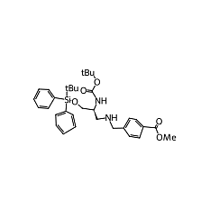 COC(=O)c1ccc(CNC[C@@H](CO[Si](c2ccccc2)(c2ccccc2)C(C)(C)C)NC(=O)OC(C)(C)C)cc1